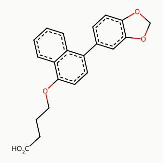 O=C(O)CCCOc1ccc(-c2ccc3c(c2)OCO3)c2ccccc12